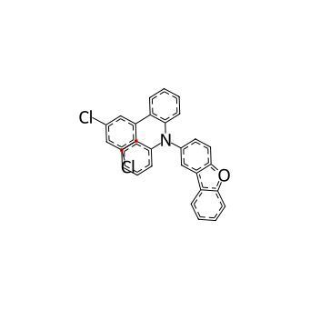 Clc1cc(Cl)cc(-c2ccccc2N(c2ccccc2)c2ccc3oc4ccccc4c3c2)c1